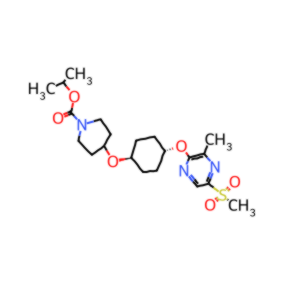 Cc1nc(S(C)(=O)=O)cnc1O[C@H]1CC[C@H](OC2CCN(C(=O)OC(C)C)CC2)CC1